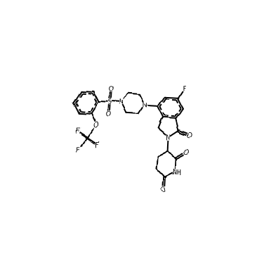 O=C1CCC(N2Cc3c(cc(F)cc3N3CCN(S(=O)(=O)c4ccccc4OC(F)(F)F)CC3)C2=O)C(=O)N1